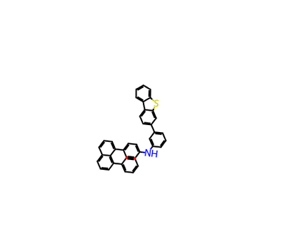 c1ccc(-c2cccc3cccc(-c4ccc(Nc5cccc(-c6ccc7c(c6)sc6ccccc67)c5)cc4)c23)cc1